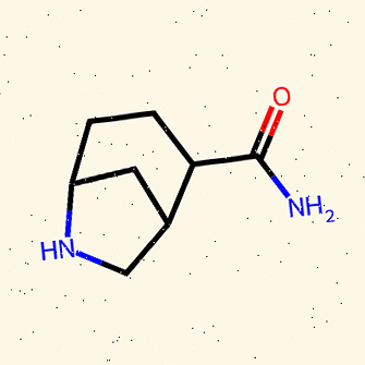 NC(=O)C1CCC2CC1CN2